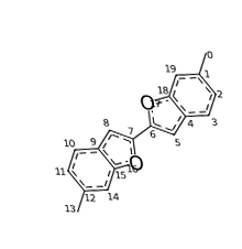 Cc1ccc2cc(-c3cc4ccc(C)cc4o3)oc2c1